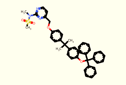 CN(c1nccc(COc2ccc(C(C)(C)c3ccc(OC(c4ccccc4)(c4ccccc4)c4ccccc4)cc3)cc2)n1)S(C)(=O)=O